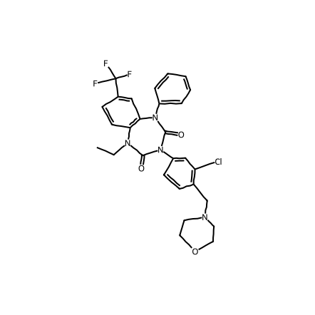 CCN1C(=O)N(c2ccc(CN3CCOCC3)c(Cl)c2)C(=O)N(c2ccccc2)c2cc(C(F)(F)F)ccc21